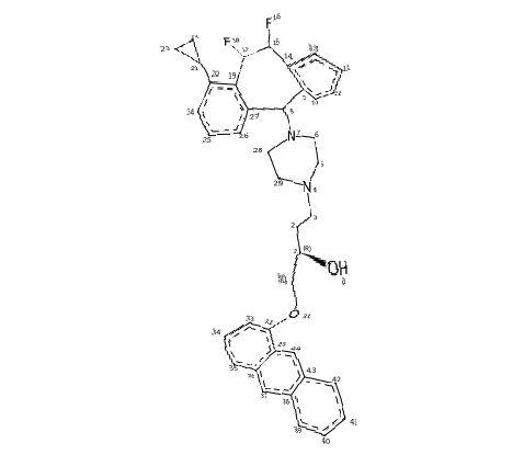 O[C@H](CCN1CCN(C2c3ccccc3C(F)C(F)c3c(C4CC4)cccc32)CC1)COc1cccc2cc3ccccc3cc12